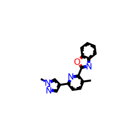 Cc1ccc(-c2cnn(C)c2)nc1-c1nc2ccccc2o1